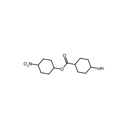 CCCC1CCC(C(=O)OC2CCC([N+](=O)[O-])CC2)CC1